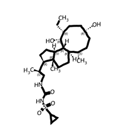 CC[C@@H]1CC[C@H](O)CC[C@H](C)[C@H]2CC[C@]3(C)[C@@H]([C@H](C)CNC(=O)NS(=O)(=O)C4CC4)CC[C@H]3[C@@H]2[C@@H]1O